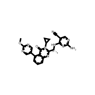 COc1ncc(-c2cccc3nc([C@@H](C)Nc4nc(N)ncc4C#N)n(C4CC4)c(=O)c23)cn1